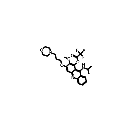 COc1c(OCCCN2CCOCC2)cc2nc3ccccc3c(NC(C)C)c2c1OC(=O)C(F)(F)F